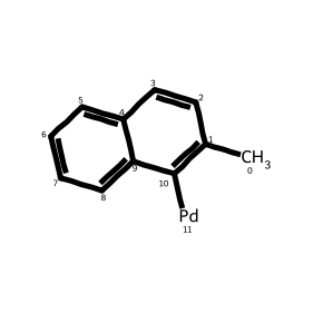 Cc1ccc2ccccc2[c]1[Pd]